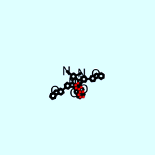 N#Cc1cc(C#N)c(-n2c3ccc(-c4ccc5c(c4)oc4ccccc45)cc3c3c4oc5ccccc5c4ccc32)c(-n2c3ccc(-c4ccc5c(c4)oc4ccccc45)cc3c3c4oc5ccccc5c4ccc32)c1